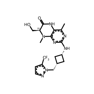 Cc1nc(N[C@H]2C[C@@H](Cn3nccc3C(F)(F)F)C2)nc2c1NC(=O)[C@H](CO)N2C